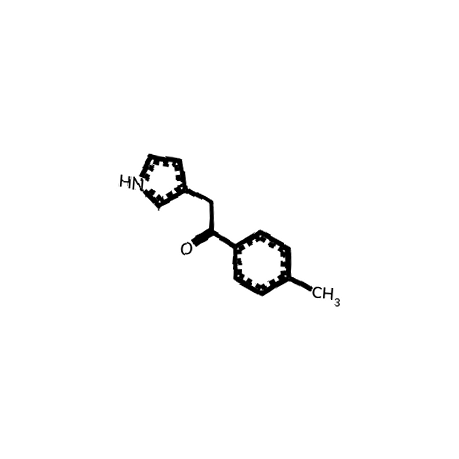 Cc1ccc(C(=O)Cc2[c][nH]cc2)cc1